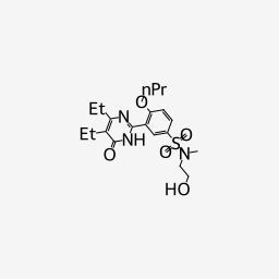 CCCOc1ccc(S(=O)(=O)N(C)CCO)cc1-c1nc(CC)c(CC)c(=O)[nH]1